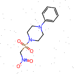 O=[N+]([O-])CS(=O)(=O)N1CCN(c2ccccc2)CC1